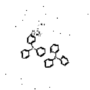 C=O.C=O.[Cl-].[Cl-].[Ru+2].c1ccc(P(c2ccccc2)c2ccccc2)cc1.c1ccc(P(c2ccccc2)c2ccccc2)cc1